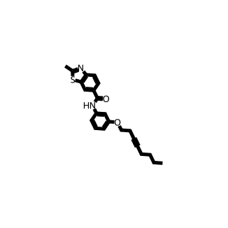 CCCCC#CCCOc1cccc(NC(=O)c2ccc3nc(C)sc3c2)c1